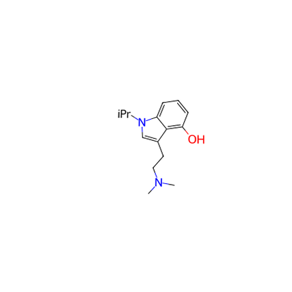 CC(C)n1cc(CCN(C)C)c2c(O)cccc21